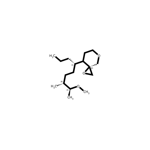 CCC[C@@H](CC[C@@H](C)[C@H](C)OC)C1CCOC[C@@]12CO2